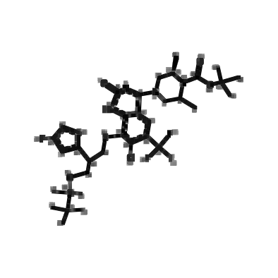 CC1CN(c2nc(=O)[nH]c3c(SCC(CO[Si](C)(C)C(C)(C)C)c4cc(F)cs4)c(Cl)c(C(F)(F)F)cc23)C[C@@H](C)N1C(=O)OC(C)(C)C